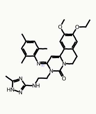 CCOc1cc2c(cc1OC)-c1c/c(=N\c3c(C)cc(C)cc3C)n(CCNc3n[nH]c(C)n3)c(=O)n1CC2